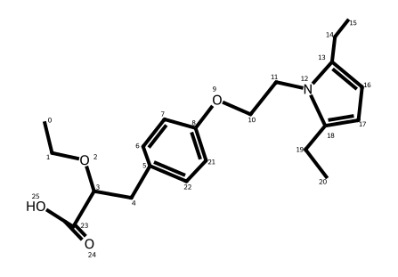 CCOC(Cc1ccc(OCCn2c(CC)ccc2CC)cc1)C(=O)O